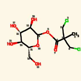 CC(CCl)(CCl)C(=O)OC1O[C@H](CO)[C@@H](O)[C@H](O)[C@H]1O